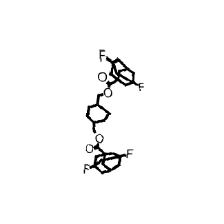 O=C(OCC1CCC(COC(=O)C23CC4CC(F)(CC(F)(C4)C2)C3)CC1)C12CC3CC(F)(CC(F)(C3)C1)C2